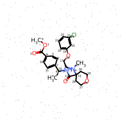 COC(=O)c1ccc([C@H](C)NC(=O)C2(N(C)CCOc3cccc(Cl)c3)CCOCC2)cc1